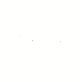 COc1cc(OC)cc(C(=O)O[C]=O)c1